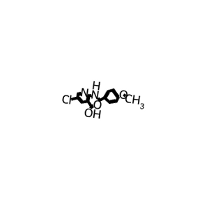 COc1ccc(CNc2ncc(Cl)cc2C(=O)O)cc1